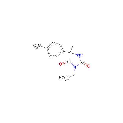 CC1(c2ccc([N+](=O)[O-])cc2)NC(=O)N(CC(=O)O)C1=O